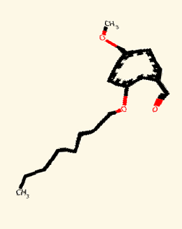 CCCCCCCCOc1cc(OC)ccc1C=O